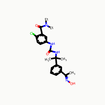 CCN(CC)C(=O)c1cc(NC(=O)NC(C)(C)c2cccc(/C(C)=N/O)c2)ccc1Cl